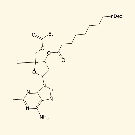 C#CC1(COC(=O)CC)OC(n2cnc3c(N)nc(F)nc32)CC1OC(=O)CCCCCCCCCCCCCCCCC